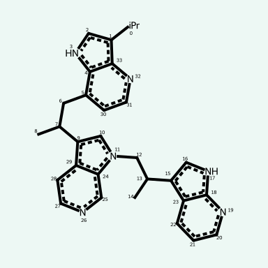 CC(C)c1c[nH]c2c(CC(C)c3cn(CC(C)c4c[nH]c5ncccc45)c4cnccc34)ccnc12